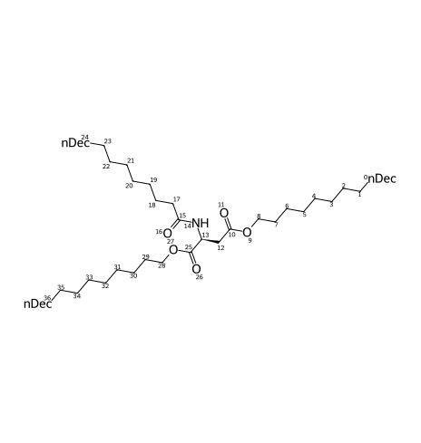 CCCCCCCCCCCCCCCCCCOC(=O)C[C@H](NC(=O)CCCCCCCCCCCCCCCCC)C(=O)OCCCCCCCCCCCCCCCCCC